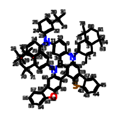 Cc1cc2c(cc1N1c3ccc(N(c4ccc(C(C)(C)C)cc4)c4cccc(C(C)(C)C)c4)cc3B3c4c1cc1c(sc5ccccc51)c4-c1cc4oc5ccccc5c4cc1N3c1ccc3c(c1)C(C)(C)CCC3(C)C)C(C)(C)CCC2(C)C